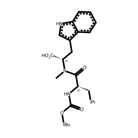 CC(C)C[C@H](NC(=O)OC(C)(C)C)C(=O)N(C)[C@@H](Cc1c[nH]c2ccccc12)C(=O)O